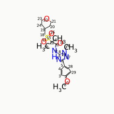 COc1ccc(-c2nc(NC(=O)C(C)(C)S(=O)(=O)CC3CCOCC3)n(C)n2)cc1